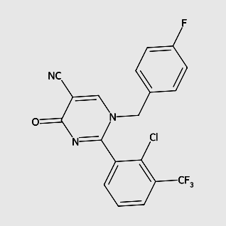 N#Cc1cn(Cc2ccc(F)cc2)c(-c2cccc(C(F)(F)F)c2Cl)nc1=O